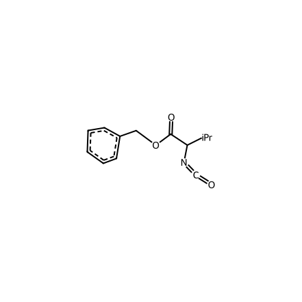 CC(C)C(N=C=O)C(=O)OCc1ccccc1